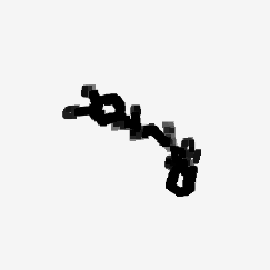 O=C(NCCNS(=O)(=O)C1(Cl)C=CCC=C1)Nc1ccc(Cl)c(Cl)c1